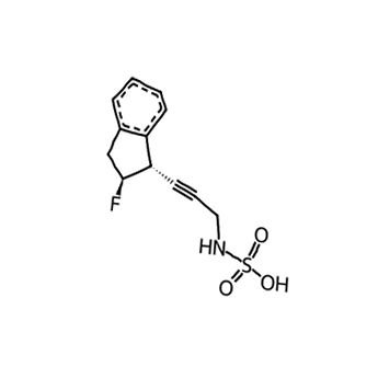 O=S(=O)(O)NCC#C[C@H]1c2ccccc2C[C@@H]1F